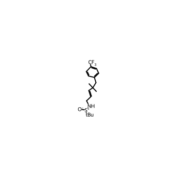 CC(C)(/C=C/CN[S+]([O-])C(C)(C)C)Cc1ccc(C(F)(F)F)cc1